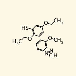 CCOc1ccc(OCC)c(S)c1.COc1ccccc1.Cl.N#N